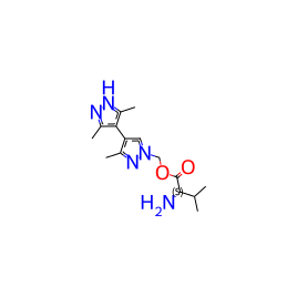 Cc1nn(COC(=O)[C@@H](N)C(C)C)cc1-c1c(C)n[nH]c1C